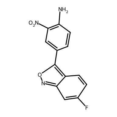 Nc1ccc(-c2onc3cc(F)ccc23)cc1[N+](=O)[O-]